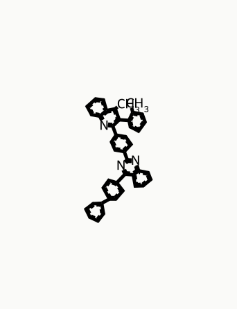 Cc1ccccc1-c1c(-c2ccc(-c3nc(-c4ccc(-c5ccccc5)cc4)c4ccccc4n3)cc2)nc2ccccc2c1C